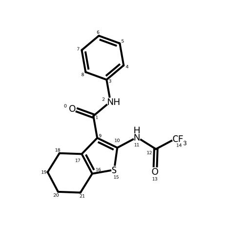 O=C(Nc1ccccc1)c1c(NC(=O)C(F)(F)F)sc2c1CCCC2